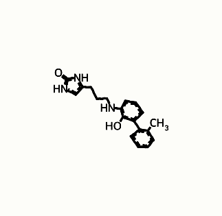 Cc1ccccc1-c1cccc(NCCCc2c[nH]c(=O)[nH]2)c1O